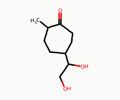 CC1CCC(C(O)CO)CCC1=O